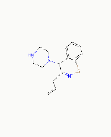 C=CCC1=NSc2ccccc2C1N1CCNCC1